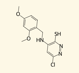 COc1ccc(CNc2cc(Cl)nnc2S)c(OC)c1